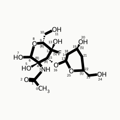 CC(=O)N[C@]1(O)C(O)O[C@H](CO)[C@](O)(F)[C@@H]1OC1C[C@@H](O)C[C@@H](CO)O1